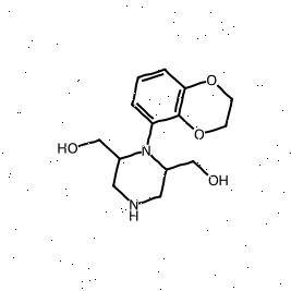 OCC1CNCC(CO)N1c1cccc2c1OCCO2